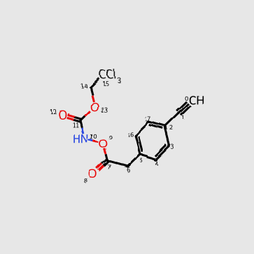 C#Cc1ccc(CC(=O)ONC(=O)OCC(Cl)(Cl)Cl)cc1